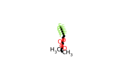 CCC(C)C(=O)OCC(=O)OCCC(F)(F)C(F)(F)C(F)(F)C(F)(F)F